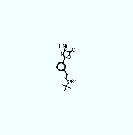 CC(C)(C)[S@+]([O-])/N=C/c1cccc(C2=N[PH](=N)C(=O)O2)c1